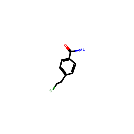 NC(=O)c1ccc(CCBr)cc1